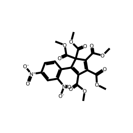 COC(=O)C1=C(C(=O)OC)C(C(=O)OC)(C(=O)OC)C(c2ccc([N+](=O)[O-])cc2[N+](=O)[O-])=C1C(=O)OC